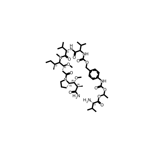 CC[C@H](C)C([C@@H](CC(=O)N1CCC[C@H]1[C@H](OC)[C@@H](C)C(N)=O)OC)N(C)C(=O)[C@@H](NC(=O)C(NC(=O)OCc1ccc(NC(=O)OC(C)OC(=O)[C@@H](N)C(C)C)cc1)C(C)C)C(C)C